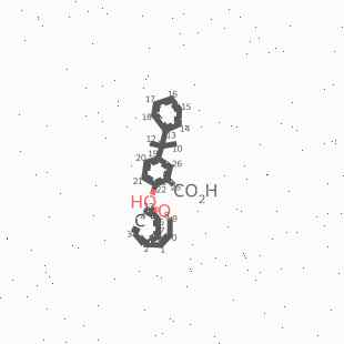 C1=Cc2ccc(cc2)OC1.CC(C)(c1ccccc1)c1ccc(O)c(C(=O)O)c1